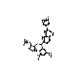 COc1cc(OC)cc(C(Cc2nccn2SN(C)C)c2ccc3ncc(-c4cnn(C)c4)nc3n2)c1